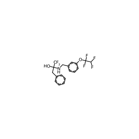 OC(Cc1ccccc1)(NCc1cccc(OC(F)(F)C(F)F)c1)C(F)(F)F